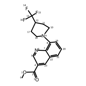 COC(=O)c1cnc2c(N3CCC(C(F)(F)F)CC3)cccc2c1